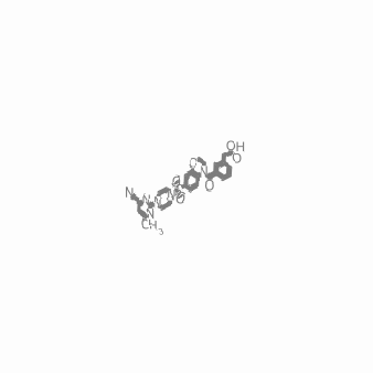 Cc1cc(C#N)nc(N2CCN(S(=O)(=O)c3ccc4c(c3)OCCN4C(=O)c3cccc(CC(=O)O)c3)CC2)n1